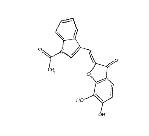 CC(=O)n1cc(/C=C2\Oc3c(ccc(O)c3O)C2=O)c2ccccc21